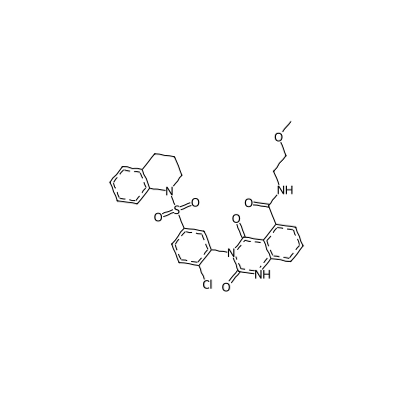 COCCNC(=O)c1cccc2[nH]c(=O)n(-c3cc(S(=O)(=O)N4CCCc5ccccc54)ccc3Cl)c(=O)c12